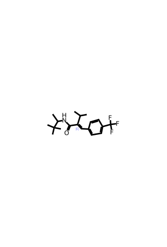 CC(C)/C(=C\c1ccc(C(F)(F)F)cc1)C(=O)NC(C)C(C)(C)C